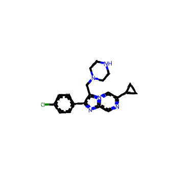 Clc1ccc(-c2nc3cnc(C4CC4)cn3c2CN2CCNCC2)cc1